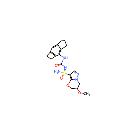 CO[C@H]1COc2c([S@](N)(=O)=NC(=O)Nc3c4c(cc5c3CC5)CCC4)cnn2C1